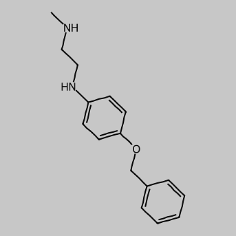 CNCCNc1ccc(OCc2ccccc2)cc1